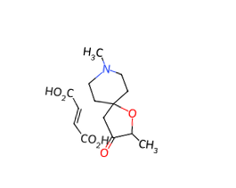 CC1OC2(CCN(C)CC2)CC1=O.O=C(O)/C=C/C(=O)O